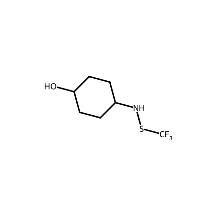 OC1CCC(NSC(F)(F)F)CC1